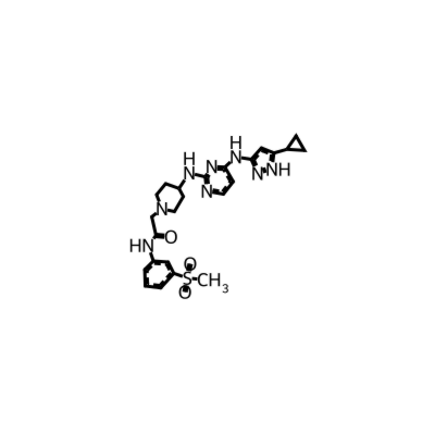 CS(=O)(=O)c1cccc(NC(=O)CN2CCC(Nc3nccc(Nc4cc(C5CC5)[nH]n4)n3)CC2)c1